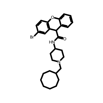 O=C(NC1CCN(CC2CCCCCCC2)CC1)C1c2ccccc2Oc2ccc(Br)cc21